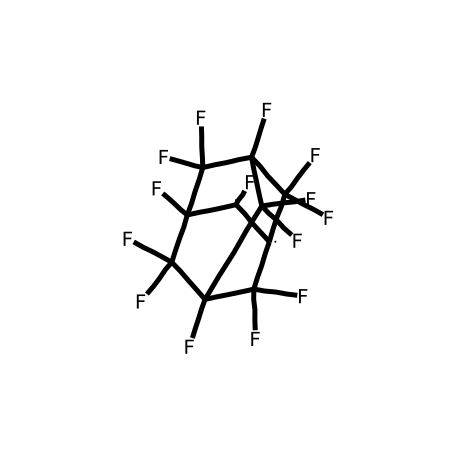 F[C]1[C]2C(F)(F)C3(F)C(F)(F)C1(F)C(F)(F)C(F)(C2(F)F)C3(F)F